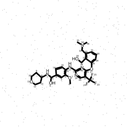 COc1cc(C(O)NC2CCOCC2)ccc1Nc1ncc(C(F)(F)F)c(Oc2cccc(CN(C)C)c2CO)n1